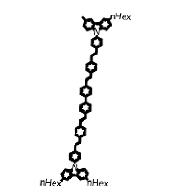 CCCCCCc1ccc2c(c1)c1cc(C)ccc1n2-c1ccc(/C=C/c2ccc(/C=C/c3ccc(-c4ccc(/C=C/c5ccc(/C=C/c6ccc(-n7c8ccc(CCCCCC)cc8c8cc(CCCCCC)ccc87)cc6)cc5)cc4)cc3)cc2)cc1